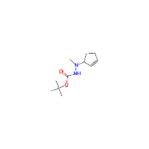 CN(NC(=O)OC(C)(C)C)C1C=CCC1